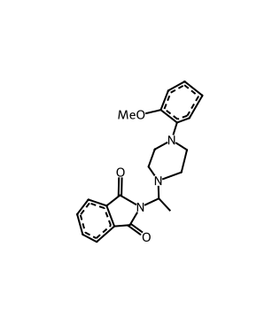 COc1ccccc1N1CCN(C(C)N2C(=O)c3ccccc3C2=O)CC1